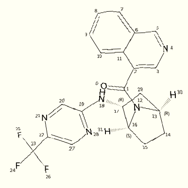 O=C(c1cncc2ccccc12)N1[C@@H]2CC[C@H]1[C@H](Nc1cnc(C(F)(F)F)cn1)C2